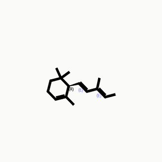 C/C=C(C)/C=C/[C@H]1C(C)=CCCC1(C)C